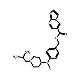 CC(C)CN1CCC([S+]([O-])c2ccc(CNC(=O)c3cnc4nccn4c3)cc2)CC1